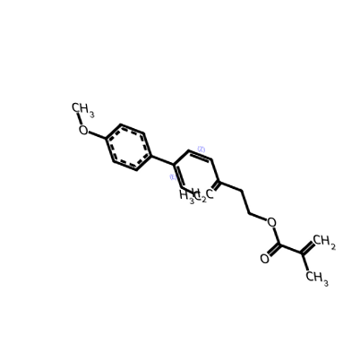 C=C(/C=C\C(=C/C)c1ccc(OC)cc1)CCOC(=O)C(=C)C